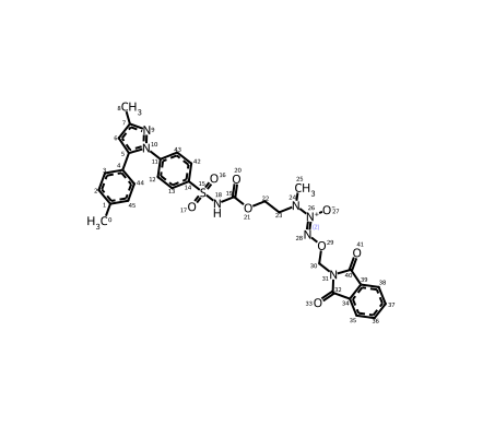 Cc1ccc(-c2cc(C)nn2-c2ccc(S(=O)(=O)NC(=O)OCCN(C)/[N+]([O-])=N/OCN3C(=O)c4ccccc4C3=O)cc2)cc1